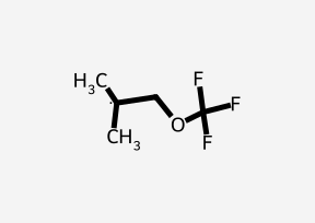 C[C](C)COC(F)(F)F